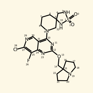 O=S1(=O)NCC2(CCCN(c3nc(OCC45CCCN4CCC5)nc4c(F)c(Cl)ncc34)C2)N1